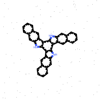 c1ccc2cc3c(cc2c1)[nH]c1c3c2[nH]c3cc4ccccc4cc3c2c2[nH]c3cc4ccccc4cc3c12